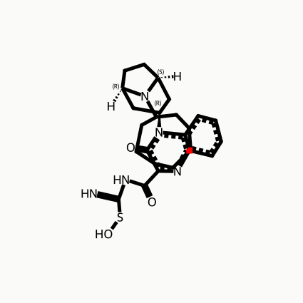 N=C(NC(=O)c1nc2ccccc2n([C@H]2C[C@H]3CC[C@@H](C2)N3C2CCCCCCC2)c1=O)SO